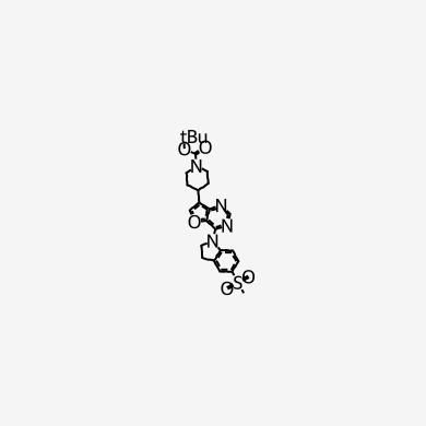 CC(C)(C)OC(=O)N1CCC(c2coc3c(N4CCc5cc(S(C)(=O)=O)ccc54)ncnc23)CC1